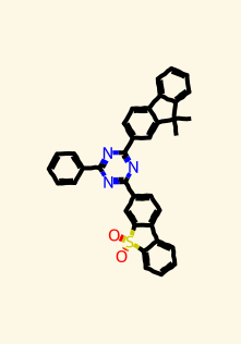 CC1(C)c2ccccc2-c2ccc(-c3nc(-c4ccccc4)nc(-c4ccc5c(c4)S(=O)(=O)c4ccccc4-5)n3)cc21